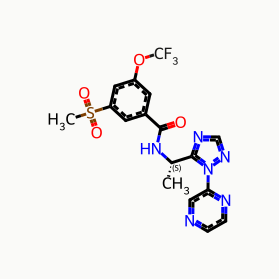 C[C@H](NC(=O)c1cc(OC(F)(F)F)cc(S(C)(=O)=O)c1)c1ncnn1-c1cnccn1